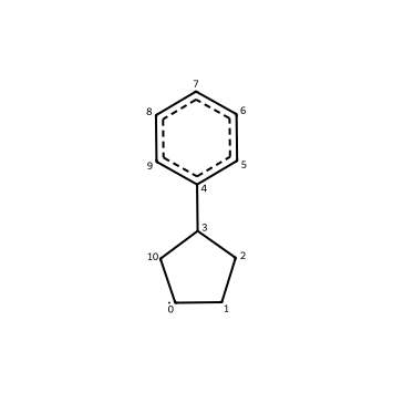 [CH]1CCC(c2ccccc2)C1